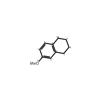 COc1ccc2c(c1)CCC[C]2